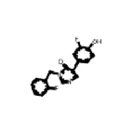 O=c1c(-c2ccc(O)c(F)c2)cncn1Cc1ccccc1F